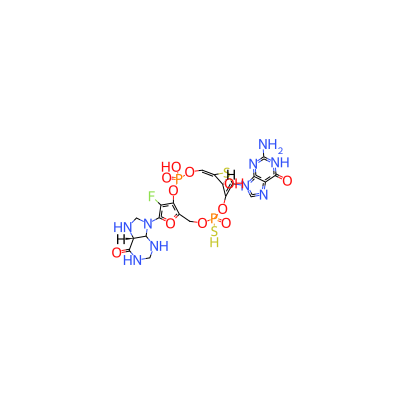 Nc1nc2c(ncn2C2=C3OP(=O)(S)OCc4oc(N5CN[C@H]6C(=O)NCNC65)c(F)c4OP(=O)(O)O/C=C(/S2)[C@H]3O)c(=O)[nH]1